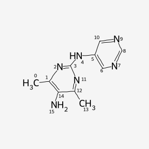 Cc1nc(Nc2cncnc2)nc(C)c1N